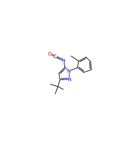 Cc1ccccc1-n1nc(C(C)(C)C)cc1N=C=O